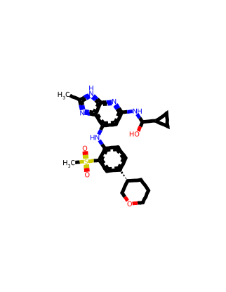 Cc1nc2c(Nc3ccc([C@@H]4CCCOC4)cc3S(C)(=O)=O)cc(NC(O)C3CC3)nc2[nH]1